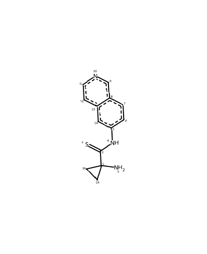 NC1(C(=S)Nc2ccc3cnccc3c2)CC1